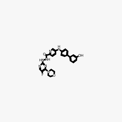 O=C(NNc1ncc(F)c(N2CCOCC2)n1)c1ccc(Nc2ccc(-c3cccc(O)c3)cc2)cn1